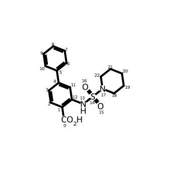 O=C(O)c1ccc(-c2ccccc2)cc1NS(=O)(=O)N1CCCCC1